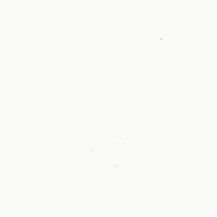 CNc1ncc2c(-c3ccccc3)cc(C3=CCC(O)CC3)c(OC)c2n1